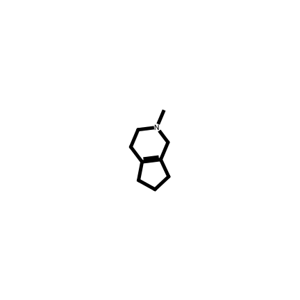 CN1CCC2=C(CCC2)C1